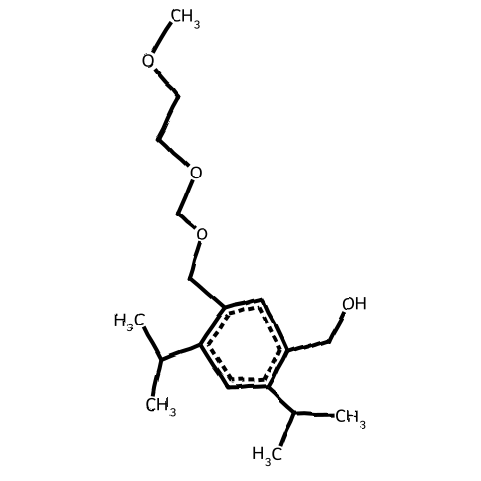 COCCOCOCc1cc(CO)c(C(C)C)cc1C(C)C